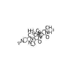 CSc1cc(C)[nH]c(=O)c1CNC(=O)c1c(C)n([C@H](C)C2CCN(C3CC3)CC2)c2ncccc12